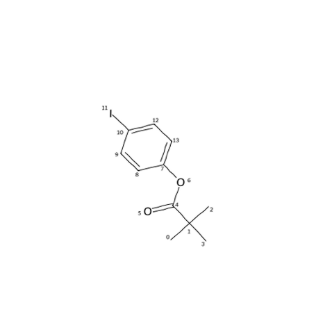 CC(C)(C)C(=O)Oc1ccc(I)cc1